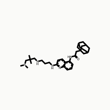 CN(C)CC(C)(C)CNCCCNc1ccc2c(NC(=O)CC34CC5CC(CC(C5)C3)C4)cccc2n1